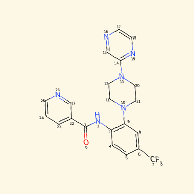 O=C(Nc1ccc(C(F)(F)F)cc1N1CCN(c2cnccn2)CC1)c1cccnc1